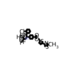 Cc1nc(-c2ccc(COC(=O)c3ccc(/C(=C/C(=N)C(F)(F)F)Nc4ccccc4Cl)cc3)s2)cs1